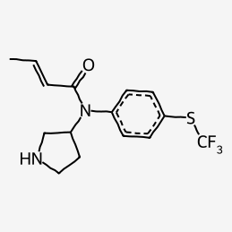 CC=CC(=O)N(c1ccc(SC(F)(F)F)cc1)C1CCNC1